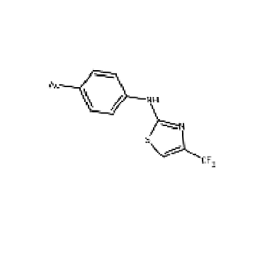 CC(=O)c1ccc(Nc2nc(C(F)(F)F)cs2)cc1